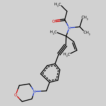 C/C=C\C(C)(C#Cc1ccc(CN2CCOCC2)cc1)N(C(=O)CC)C(C)C